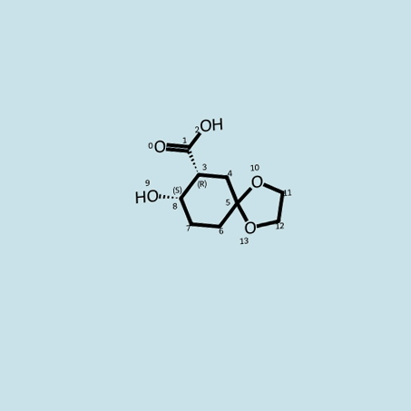 O=C(O)[C@@H]1CC2(CC[C@@H]1O)OCCO2